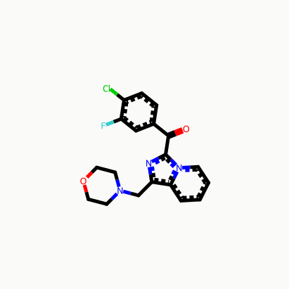 O=C(c1ccc(Cl)c(F)c1)c1nc(CN2CCOCC2)c2ccccn12